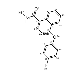 CCNC(=O)/C(=N/OC)c1ccccc1COc1ccc(F)cc1